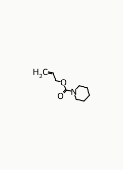 C=CCOC(=O)N1CCCCC1